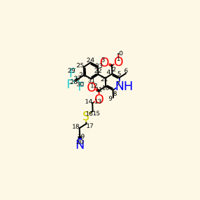 COC(=O)C1=C(C)NC(C)=C(C(=O)OCCSCCC#N)C1c1cccc(C(F)(F)F)c1